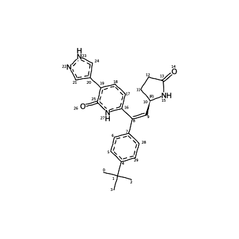 CC(C)(C)c1ccc(C(=C[C@H]2CCC(=O)N2)c2ccc(-c3cn[nH]c3)c(=O)[nH]2)cc1